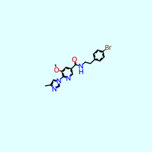 COc1cc(C(=O)NCCc2ccc(Br)cc2)cnc1-n1cnc(C)c1